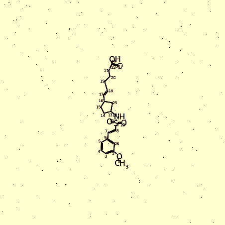 COc1cccc(C=CS(=O)(=O)NC2CCC(C=CCCCC(=O)O)C2)c1